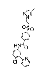 Cc1cnn(CCS(=O)(=O)c2ccc(C(=O)Nc3ccc(Cl)c(-c4ccccn4)c3)cc2)c1